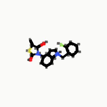 C=C1SC(=O)N(c2cccc3c2ccn3Cc2ccccc2F)C1=O